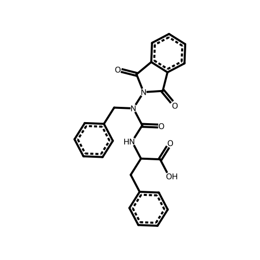 O=C(O)C(Cc1ccccc1)NC(=O)N(Cc1ccccc1)N1C(=O)c2ccccc2C1=O